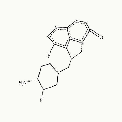 N[C@@H]1CCN(CC2Cn3c(=O)ccc4ncc(F)c2c43)C[C@@H]1F